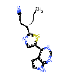 CCC[C@@H](CC#N)c1ncc(-c2ncnc3[nH]ccc23)s1